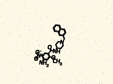 COc1cc(N)c([N+](=O)[O-])cc1C(=O)NC1CCN(Cc2ccc3ccccc3c2)CC1